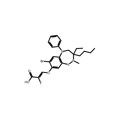 CCCCC1(CC)CN(c2ccccc2)c2cc(Br)c(O/C=C(\F)C(=O)O)cc2SN1C